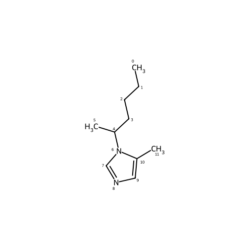 CCCCC(C)n1cncc1C